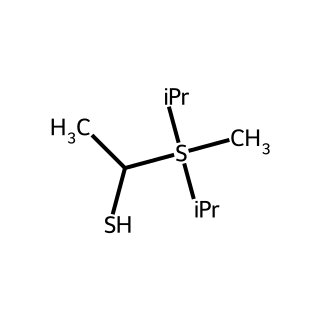 CC(C)S(C)(C(C)C)C(C)S